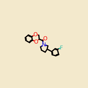 O=C(C1COc2ccccc2O1)N1CCCC(c2cccc(F)c2)C1